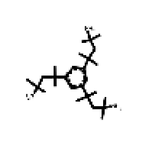 CC(C)(N)CC(C)(C)c1cc(C(C)(C)CC(C)(C)N)cc(C(C)(C)CC(C)(C)N)c1